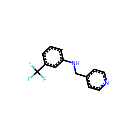 FC(F)(F)c1cc[c]c(NCc2ccncc2)c1